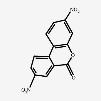 O=c1oc2cc([N+](=O)[O-])ccc2c2ccc([N+](=O)[O-])cc12